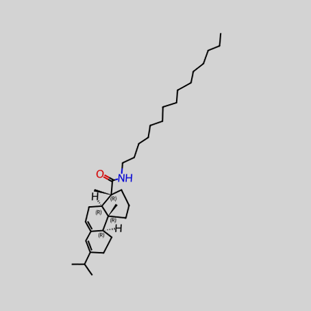 CCCCCCCCCCCCCCCNC(=O)[C@]1(C)CCC[C@@]2(C)[C@H]1CC=C1C=C(C(C)C)CC[C@@H]12